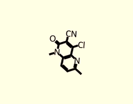 Cc1ccc2c(n1)c(Cl)c(C#N)c(=O)n2C